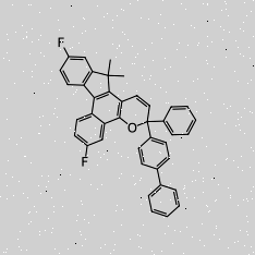 CC1(C)c2cc(F)ccc2-c2c1c1c(c3cc(F)ccc23)OC(c2ccccc2)(c2ccc(-c3ccccc3)cc2)C=C1